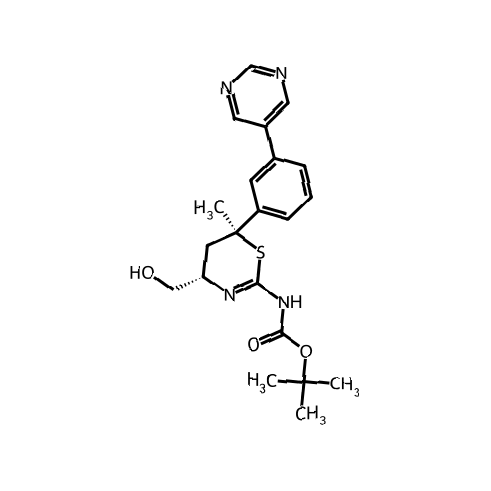 CC(C)(C)OC(=O)NC1=N[C@H](CO)C[C@@](C)(c2cccc(-c3cncnc3)c2)S1